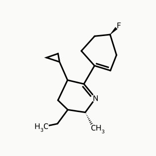 CCC1CC(C2CC2)C(C2=CC[C@H](F)CC2)=N[C@@H]1C